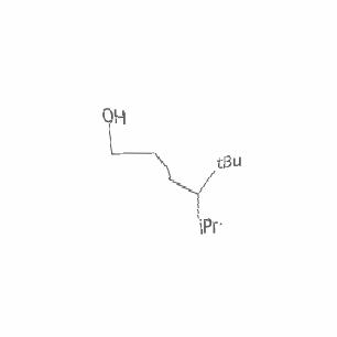 C[C](C)C(CCCO)C(C)(C)C